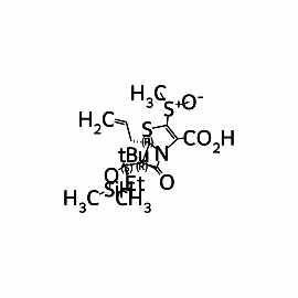 C=CC[C@]12SC([S+](C)[O-])=C(C(=O)O)N1C(=O)[C@H]2[C@](CC)(O[SiH](C)C)C(C)(C)C